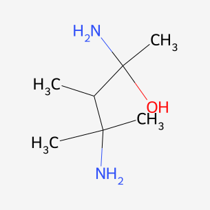 CC(C(C)(C)N)C(C)(N)O